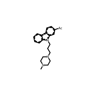 CC(=O)c1ccc2c3ccccc3n(CCCN3CCN(C)CC3)c2c1